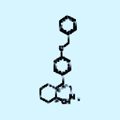 NC[C@@H](c1ccc(OCc2ccccc2)cc1)[C@H]1CCCC[C@@H]1O